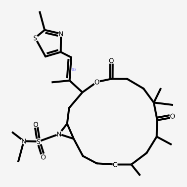 C/C(=C\c1csc(C)n1)C1CC2C(CCCC(C)CC(C)C(=O)C(C)(C)CCC(=O)O1)N2S(=O)(=O)N(C)C